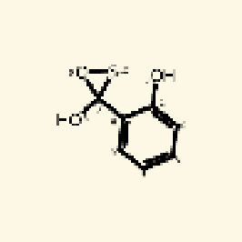 Oc1ccccc1C1(O)OS1